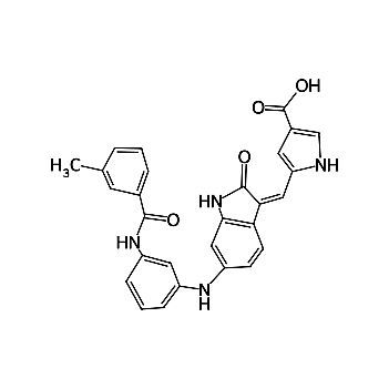 Cc1cccc(C(=O)Nc2cccc(Nc3ccc4c(c3)NC(=O)C4=Cc3cc(C(=O)O)c[nH]3)c2)c1